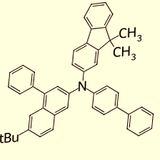 CC(C)(C)c1ccc2cc(N(c3ccc(-c4ccccc4)cc3)c3ccc4c(c3)C(C)(C)c3ccccc3-4)cc(-c3ccccc3)c2c1